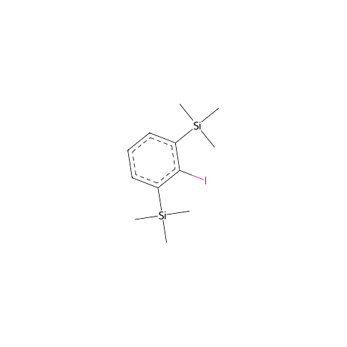 C[Si](C)(C)c1cccc([Si](C)(C)C)c1I